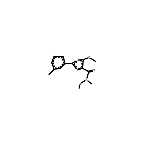 COc1nc(-c2cccc(C)c2)sc1C(=O)N(C)OC